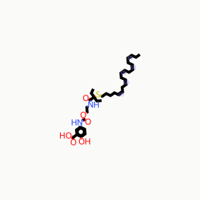 CC/C=C\C/C=C\C/C=C\C/C=C\C/C=C\CCCCSC(CC)(CC)C(=O)NCCOC(=O)Nc1ccc(O)c(C(=O)O)c1